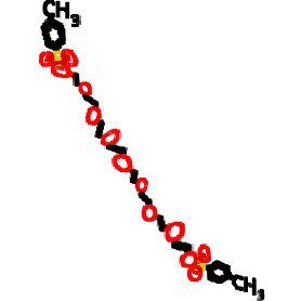 Cc1ccc(S(=O)(=O)OCCOCCOCCOCCOCCOCCOCCOCCOS(=O)(=O)c2ccc(C)cc2)cc1